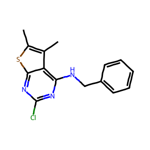 Cc1sc2nc(Cl)nc(NCc3ccccc3)c2c1C